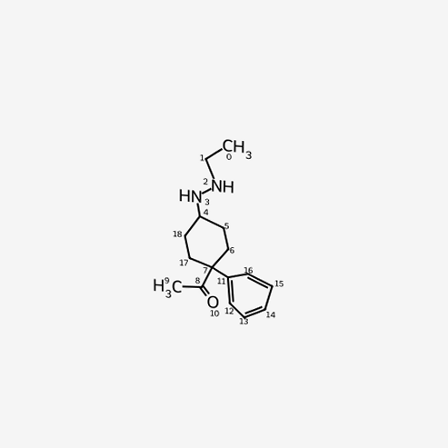 CCNNC1CCC(C(C)=O)(c2ccccc2)CC1